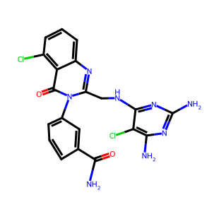 NC(=O)c1cccc(-n2c(CNc3nc(N)nc(N)c3Cl)nc3cccc(Cl)c3c2=O)c1